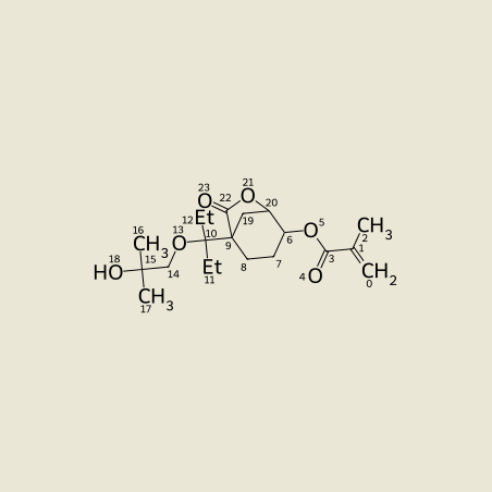 C=C(C)C(=O)OC1CCC2(C(CC)(CC)OCC(C)(C)O)CC1OC2=O